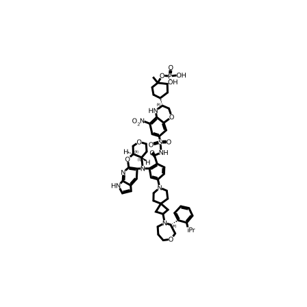 CC(C)c1ccccc1[C@@H]1COCCCN1C1CC2(CCN(c3ccc(C(=O)NS(=O)(=O)c4cc5c(c([N+](=O)[O-])c4)N[C@H](C4CCC(C)(OP(=O)(O)O)CC4)CO5)c(N4c5cc6cc[nH]c6nc5O[C@H]5COCC[C@@H]54)c3)CC2)C1